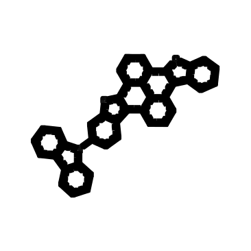 c1ccc2c(c1)oc1c3cccc4c5oc6cc(-n7c8ccccc8c8ccccc87)ccc6c5c5cccc(c21)c5c34